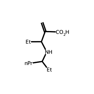 C=C(C(=O)O)C(CC)NC(CC)CCC